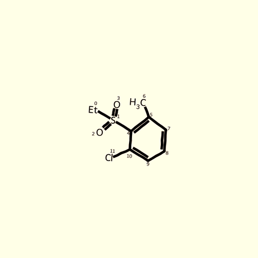 CCS(=O)(=O)c1c(C)cccc1Cl